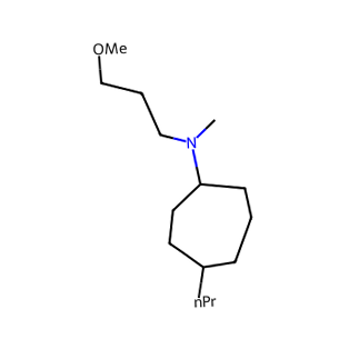 CCCC1CCCC(N(C)CCCOC)CC1